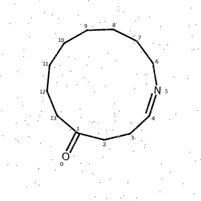 O=C1CCC=NCCCCCCCC1